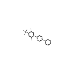 Cc1cc(C(C)(C)C)c(C)cc1-c1ccc(-c2ccccc2)cc1